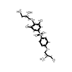 C[C@H](CCl)COc1ccc(S(=O)(=O)c2cc(Cl)c(OC[C@@H](O)CO)c(Cl)c2)cc1